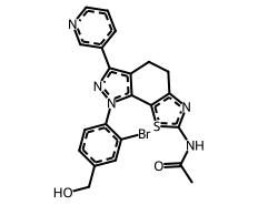 CC(=O)Nc1nc2c(s1)-c1c(c(-c3cccnc3)nn1-c1ccc(CO)cc1Br)CC2